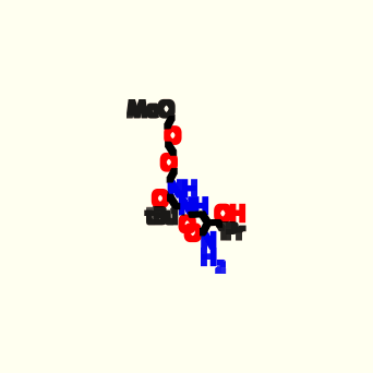 COCCOCCOCCNC(=O)[C@@H](NC(=O)CC(C(N)=O)C(O)C(C)C)C(C)(C)C